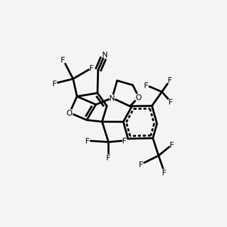 N#CC1=CC(c2cc(C(F)(F)F)cc(C(F)(F)F)c2)(C(F)(F)F)C2=C(N3CCOC3)C1(C(F)(F)F)O2